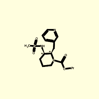 CC(C)OC(=O)N1CCC[C@@H](NS(C)(=O)=O)[C@H]1Cc1cccnc1